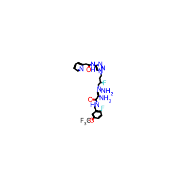 N/C(=C\N(N)CC(F)CCn1cc(NC(=O)Cc2ccccn2)nn1)C(=O)NCc1cc(OC(F)(F)F)ccc1F